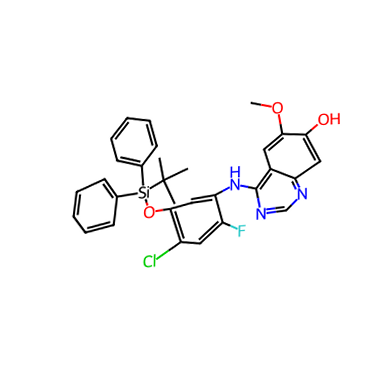 COc1cc2c(Nc3cc(O[Si](c4ccccc4)(c4ccccc4)C(C)(C)C)c(Cl)cc3F)ncnc2cc1O